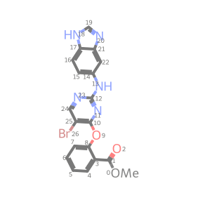 COC(=O)c1ccccc1Oc1nc(Nc2ccc3[nH]cnc3c2)ncc1Br